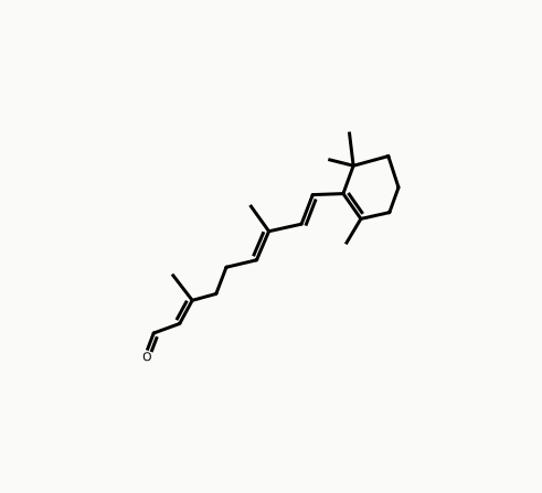 CC1=C(/C=C/C(C)=C/CC/C(C)=C/C=O)C(C)(C)CCC1